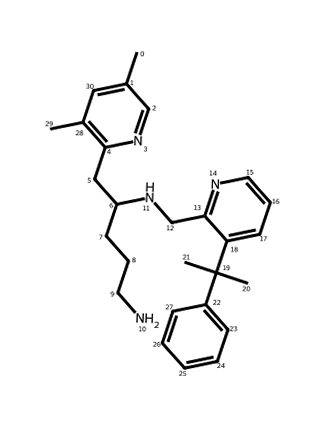 Cc1cnc(CC(CCCN)NCc2ncccc2C(C)(C)c2ccccc2)c(C)c1